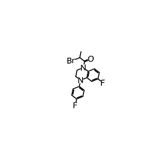 CC(Br)C(=O)N1CCN(c2ccc(F)cc2)c2cc(F)ccc21